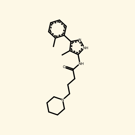 Cc1ccccc1-c1n[nH]c(NC(=O)CCCN2CCCCC2)c1C